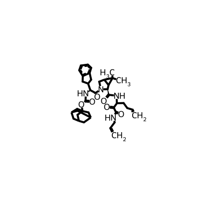 C=CCCC(NC(=O)[C@@H]1C2C(CN1C(=O)[C@@H](NC(=O)OC13CC4CC(CC(C4)C1)C3)C1Cc3ccccc3C1)C2(C)C)C(=O)C(=O)NCC=C